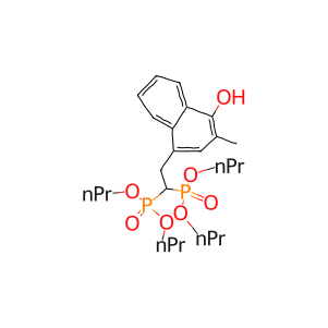 CCCOP(=O)(OCCC)C(Cc1cc(C)c(O)c2ccccc12)P(=O)(OCCC)OCCC